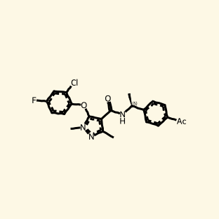 CC(=O)c1ccc([C@H](C)NC(=O)c2c(C)nn(C)c2Oc2ccc(F)cc2Cl)cc1